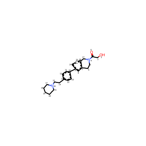 O=C(CO)N1CCc2cc(-c3ccc(CCN4CCCCC4)cc3)ccc2C1